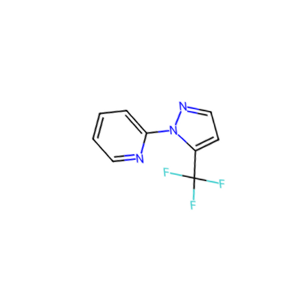 FC(F)(F)c1ccnn1-c1ccccn1